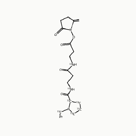 C=C1CCC(=O)N1OC(=O)CC[15NH]C(=O)CC[15NH]C(=O)[13CH]1[13CH2][13CH2][13CH2]N1[13CH2]C([13CH3])[13CH3]